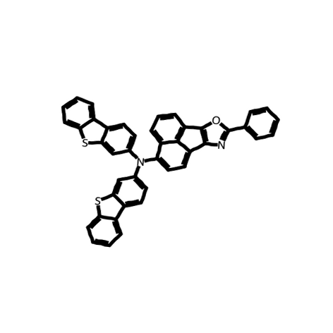 c1ccc(-c2nc3c(o2)-c2cccc4c(N(c5ccc6c(c5)sc5ccccc56)c5ccc6c(c5)sc5ccccc56)ccc-3c24)cc1